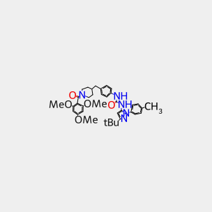 COc1cc(OC)c(C(=O)N2CCC(Cc3ccc(NC(=O)Nc4cc(C(C)(C)C)nn4-c4ccc(C)cc4)cc3)CC2)c(OC)c1